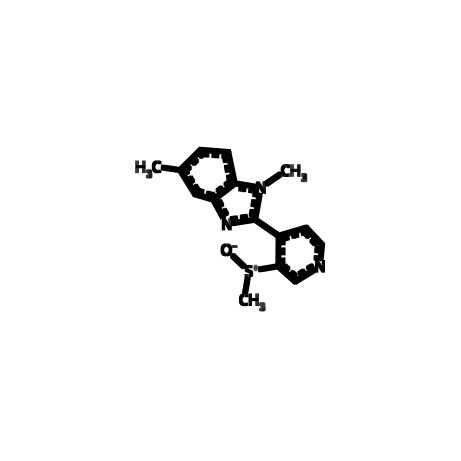 Cc1ccc2c(c1)nc(-c1ccncc1[S+](C)[O-])n2C